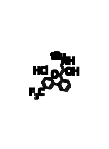 CC(C)(C)NCC(O)C1Oc2ccc(C(F)(F)F)cc2-c2ccccc21.Cl